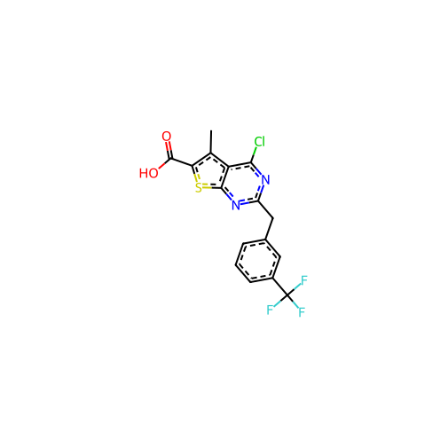 Cc1c(C(=O)O)sc2nc(Cc3cccc(C(F)(F)F)c3)nc(Cl)c12